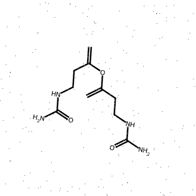 C=C(CCNC(N)=O)OC(=C)CCNC(N)=O